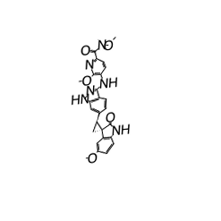 COc1ccc2c(c1)[C@]1(C[C@H]1c1ccc3c(Nc4ccc(C(=O)N(C)OC)nc4OC)n[nH]c3c1)C(=O)N2